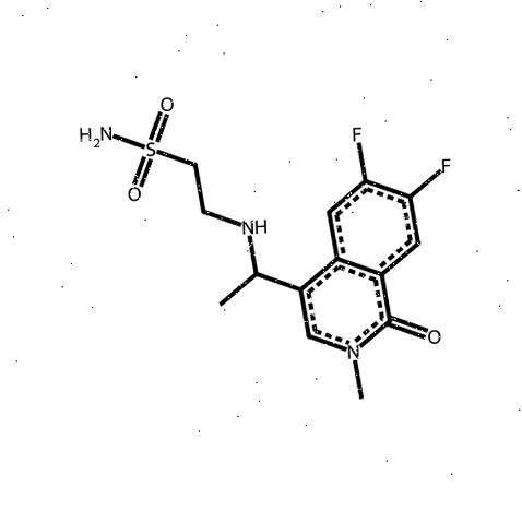 CC(NCCS(N)(=O)=O)c1cn(C)c(=O)c2cc(F)c(F)cc12